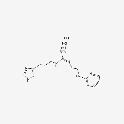 Cl.Cl.Cl.NC(=NCCNc1ccccn1)NCCCc1c[nH]cn1